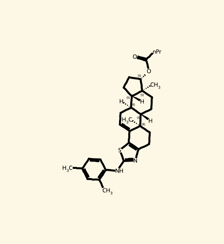 CCCC(=O)O[C@H]1CC[C@H]2[C@@H]3CC=C4c5sc(Nc6ccc(C)cc6C)nc5CC[C@]4(C)[C@H]3CC[C@]12C